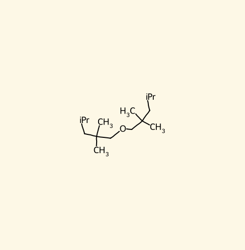 CC(C)CC(C)(C)COCC(C)(C)CC(C)C